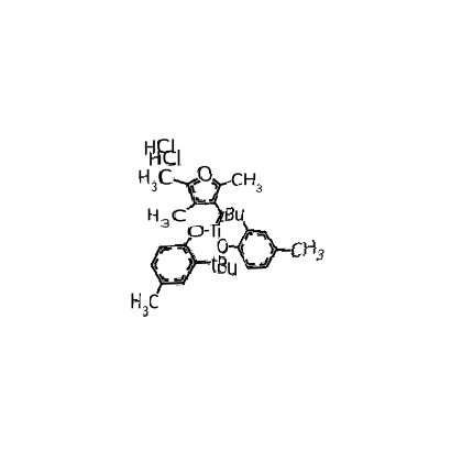 Cc1ccc([O][Ti](=[CH]c2c(C)oc(C)c2C)[O]c2ccc(C)cc2C(C)(C)C)c(C(C)(C)C)c1.Cl.Cl